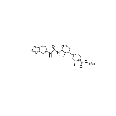 C[C@H]1CN(c2ccnc3c2CCN3C(=O)Nc2ccc3nn(C)nc3c2)CCN1C(=O)OC(C)(C)C